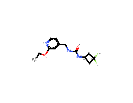 O=C(NCc1ccnc(OCC(F)(F)F)c1)NC1CC(F)(F)C1